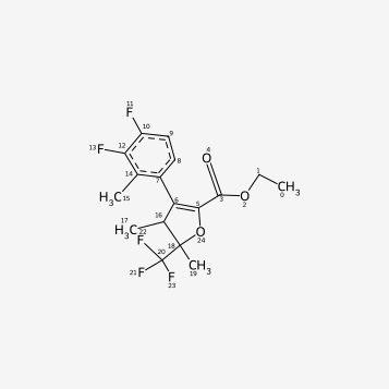 CCOC(=O)C1=C(c2ccc(F)c(F)c2C)C(C)C(C)(C(F)(F)F)O1